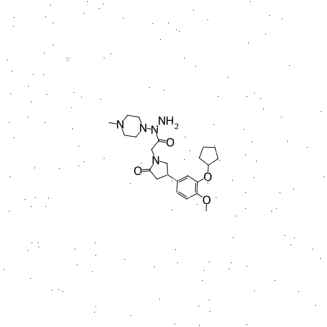 COc1ccc(C2CC(=O)N(CC(=O)N(N)N3CCN(C)CC3)C2)cc1OC1CCCC1